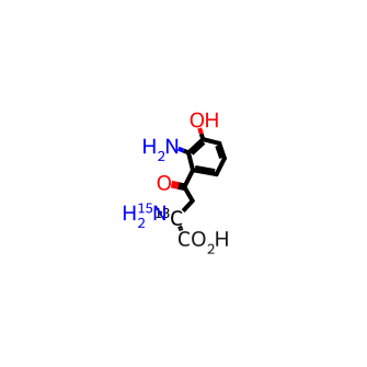 Nc1c(O)cccc1C(=O)C[13CH]([15NH2])[13C](=O)O